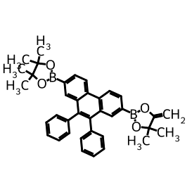 C=C1OB(c2ccc3c(c2)c(-c2ccccc2)c(-c2ccccc2)c2cc(B4OC(C)(C)C(C)(C)O4)ccc23)OC1(C)C